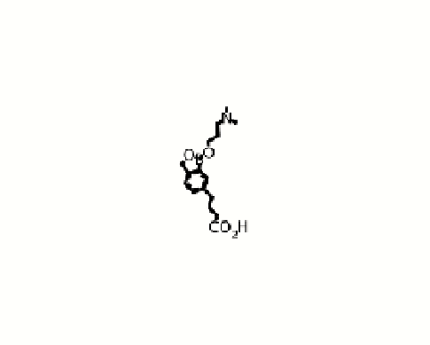 CN(C)CCCOB1OCc2ccc(CCCC(=O)O)cc21